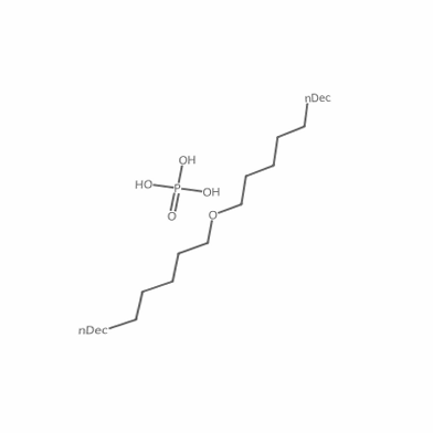 CCCCCCCCCCCCCCCOCCCCCCCCCCCCCCC.O=P(O)(O)O